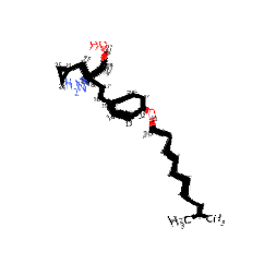 CC(C)CCCCCCCCOc1ccc(CCC(N)(CO)CC2CC2)cc1